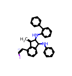 C=C1c2c(/C=C\I)cccc2C(Nc2ccccc2)C1Nc1ccccc1-c1ccccc1